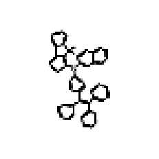 CC1(C)c2ccccc2-c2cccc(N(c3ccc(C(=C(c4ccccc4)c4ccccc4)c4ccccc4)cc3)c3ccc4ccccc4c3)c21